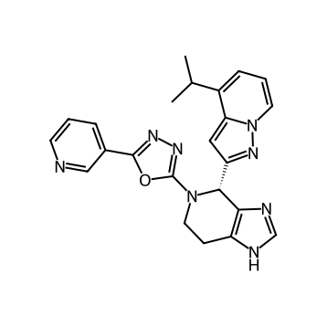 CC(C)c1cccn2nc([C@@H]3c4nc[nH]c4CCN3c3nnc(-c4cccnc4)o3)cc12